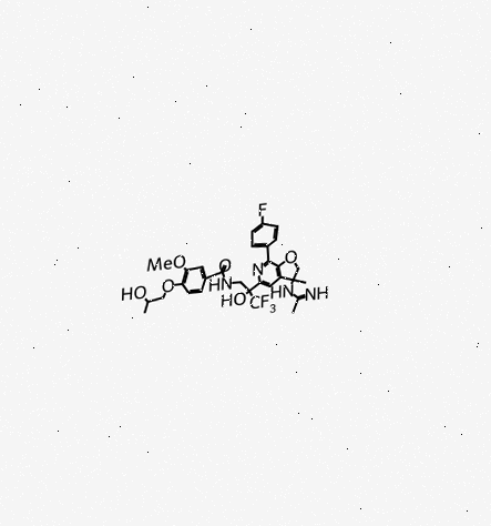 COc1cc(C(=O)NCC(O)(c2cc3c(c(-c4ccc(F)cc4)n2)OCC3(C)NC(C)=N)C(F)(F)F)ccc1OCC(C)O